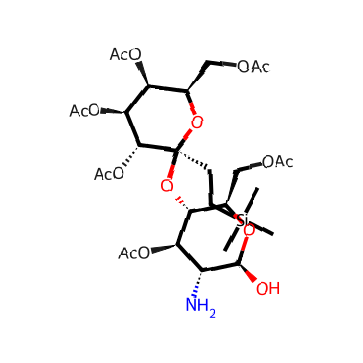 CC(=O)OC[C@H]1O[C@@](CC[Si](C)(C)C)(O[C@H]2[C@H](OC(C)=O)[C@@H](N)[C@H](O)O[C@@H]2COC(C)=O)[C@H](OC(C)=O)[C@@H](OC(C)=O)[C@H]1OC(C)=O